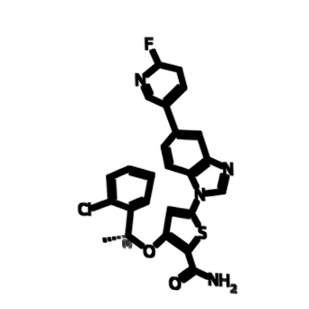 C[C@@H](Oc1cc(-n2cnc3cc(C4=CCC(F)N=C4)ccc32)sc1C(N)=O)c1ccccc1Cl